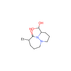 CCC1CCCN2CCCC(C(O)O)N2C1=O